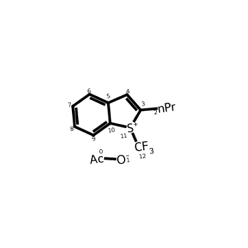 CC(=O)[O-].CCCc1cc2ccccc2[s+]1C(F)(F)F